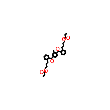 C=CC(=O)OCCCCc1ccccc1C(=O)c1ccc(C(=O)c2ccccc2CCCCOC(=O)C=C)c(C)c1